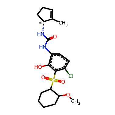 COC1CCCCC1S(=O)(=O)c1c(Cl)ccc(NC(=O)N[C@@H]2CCC=C2C)c1O